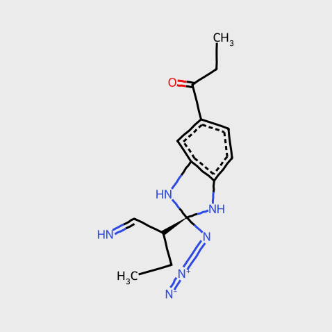 CCC(=O)c1ccc2c(c1)N[C@](N=[N+]=[N-])(C(C=N)CC)N2